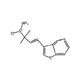 CC(C)(C=Cc1csc2ccccc12)[S+](N)[O-]